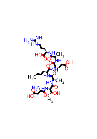 CCCC[C@H](NC(=O)[C@@H](C)NC(=O)[C@@H](NC(=O)[C@@H](N)CC(=O)O)[C@@H](C)O)C(=O)N[C@@H](CCC(=O)O)C(=O)N[C@H](C)C(=O)N[C@@H](CCCNC(=N)N)C(=O)O